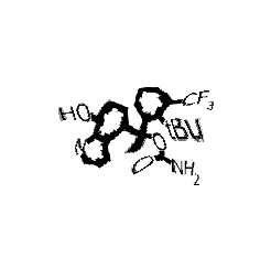 CC(C)(C)c1c(C(F)(F)F)cccc1C(C)(OC(N)=O)c1ccc(O)c2ncccc12